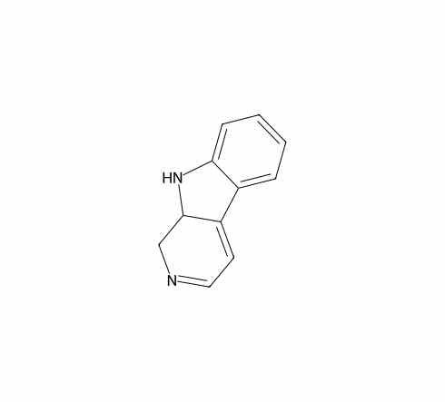 C1=NCC2Nc3ccccc3C2=C1